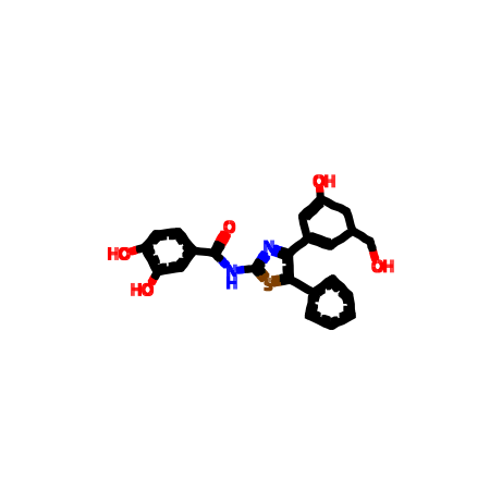 O=C(Nc1nc(C2=CC(CO)CC(O)=C2)c(-c2ccccc2)s1)c1ccc(O)c(O)c1